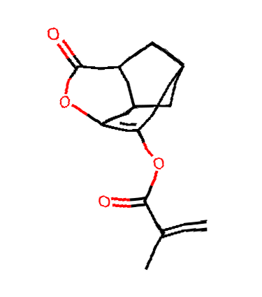 C=C(C)C(=O)OC1=C2OC(=O)C3CC1CC23